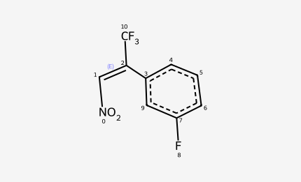 O=[N+]([O-])/C=C(\c1cccc(F)c1)C(F)(F)F